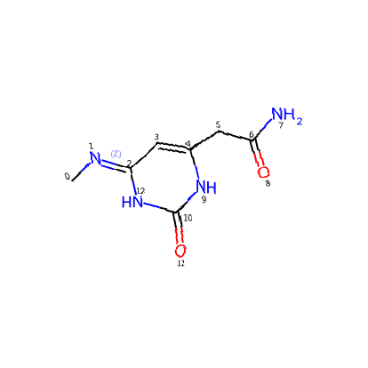 C/N=c1/cc(CC(N)=O)[nH]c(=O)[nH]1